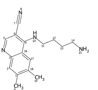 Cc1cc2ncc(C#N)c(NCCCCN)c2cc1C